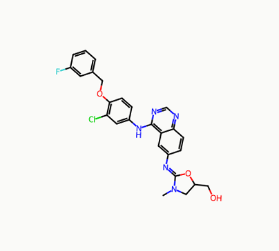 CN1CC(CO)O/C1=N\c1ccc2ncnc(Nc3ccc(OCc4cccc(F)c4)c(Cl)c3)c2c1